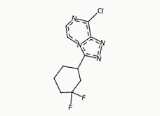 FC1(F)CCCC(c2nnc3c(Cl)nccn23)C1